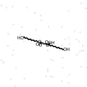 O=C(/C=C/C(=O)OC(O)CCCCCCCCCO)OC(O)CCCCCCCCCO